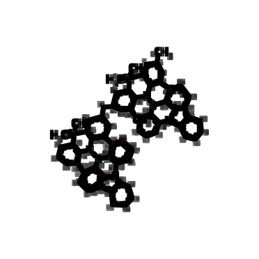 Cc1cc(C)c2c(c1)[Si](C)(C)c1cc(Cc3cc(-c4ccccc4)c4c(c3)[Si](C)(C)c3cccc(-c5ccccc5)c3N4B3c4ccccc4-n4c5ccccc5c5cccc3c54)cc(C)c1N2B1c2ccccc2-n2c3ccccc3c3cccc1c32